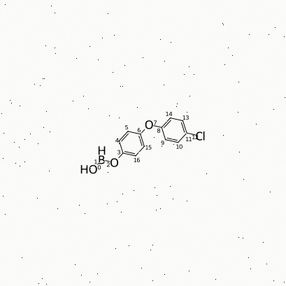 OBOc1ccc(Oc2ccc(Cl)cc2)cc1